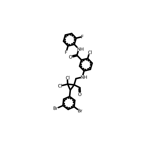 O=CC1(CNc2ccc(Cl)c(C(=O)Nc3c(F)cccc3F)c2)C(c2cc(Br)cc(Br)c2)C1(Cl)Cl